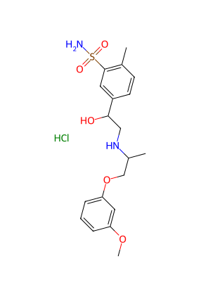 COc1cccc(OCC(C)NCC(O)c2ccc(C)c(S(N)(=O)=O)c2)c1.Cl